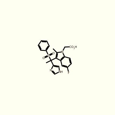 Cc1c(C(C)(c2c[nH]cn2)S(=O)(=O)c2ccccc2)c2cc(F)ccc2n1CC(=O)O